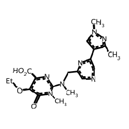 CCOc1c(C(=O)O)nc(N(C)Cc2cncc(-c3cn(C)nc3C)n2)n(C)c1=O